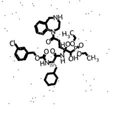 CCOP(=O)(OCC)C(O)C(O)(CCC(=O)N1CCNCc2ccccc21)NC(=O)[C@H](CC1CCCCC1)NC(=O)OCc1cccc(Cl)c1